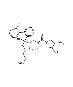 COCCCCC(O)(c1ccccc1-c1ccccc1Cl)C1CCCN(C(=O)N2CC(N)C(O)C2)C1